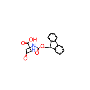 O=C1CC(NC(=O)OCC2c3ccccc3-c3ccccc32)(C(=O)O)C1